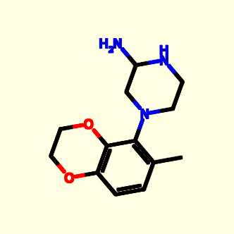 Cc1ccc2c(c1N1CCNC(N)C1)OCCO2